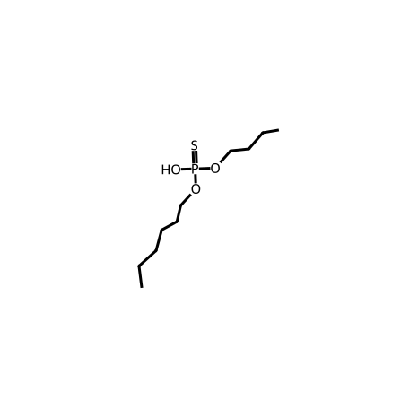 CCCCCCOP(O)(=S)OCCCC